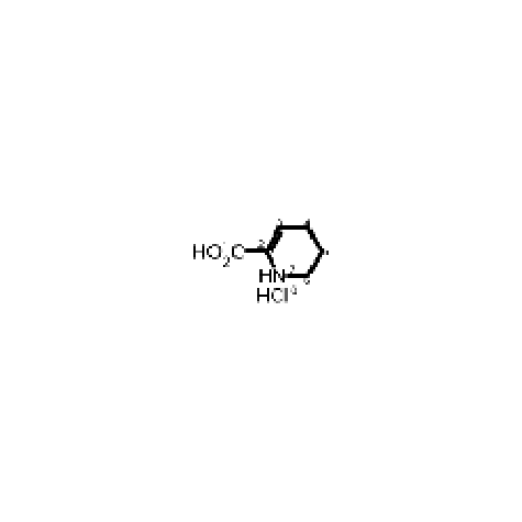 Cl.O=C(O)C1=CCCCN1